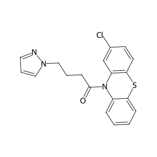 O=C(CCCn1cccn1)N1c2ccccc2Sc2ccc(Cl)cc21